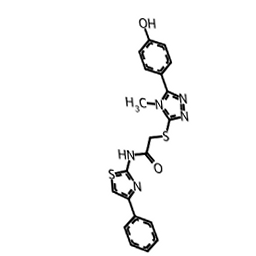 Cn1c(SCC(=O)Nc2nc(-c3ccccc3)cs2)nnc1-c1ccc(O)cc1